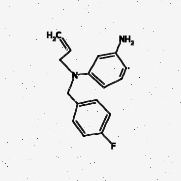 C=CCN(Cc1ccc(F)cc1)c1cc[c]c(N)c1